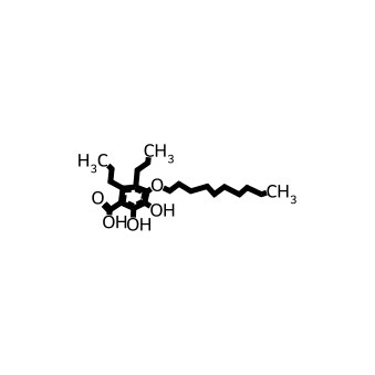 CCCCCCCCCCOc1c(O)c(O)c(C(=O)O)c(CCC)c1CCC